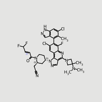 Cc1c(Cl)cc2[nH]ncc2c1-c1c(Cl)cc2c(nc(N3CC(C)(N(C)C)C3)c3cnn([C@H]4CCN(C(=O)/C=C/C(F)F)[C@H](CC#N)C4)c32)c1F